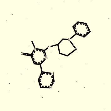 Cn1c(OC2CCCN(c3ccccc3)C2)nc(-c2ccncn2)cc1=O